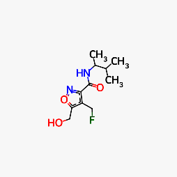 CC(C)C(C)NC(=O)c1noc(CO)c1CF